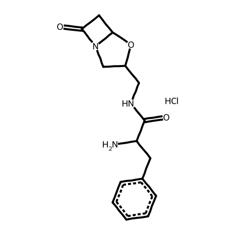 Cl.NC(Cc1ccccc1)C(=O)NCC1CN2C(=O)CC2O1